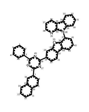 c1ccc(-c2nc(-c3ccc4ccccc4c3)nc(-c3ccc4c(c3)oc3c(-n5c6ccccc6c6cccnc65)cccc34)n2)cc1